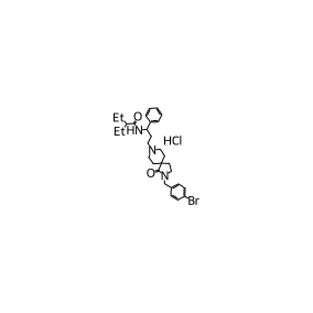 CCC(CC)C(=O)NC(CCN1CCC2(CC1)CCN(Cc1ccc(Br)cc1)C2=O)c1ccccc1.Cl